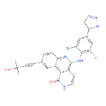 CC(C)(O)C#Cc1ccc2nc(Nc3c(Cl)cc(C4CC=NN4)cc3Cl)c3cc[nH]c(=O)c3c2c1